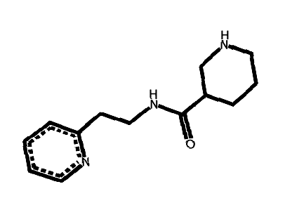 O=C(NCCc1ccccn1)C1CCCNC1